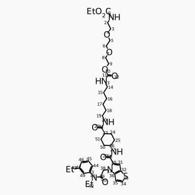 CCOC(=O)NCCOCCOCCOC(=O)NCCCCCCNC(=O)[C@H]1CC[C@H](NC(=O)c2cc3sccc3n2CC(=O)N(CC)c2cccc(CC)c2)CC1